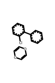 C1=COC=CO1.Clc1ccccc1-c1ccccc1